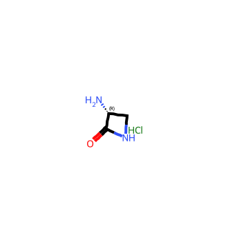 Cl.N[C@@H]1CNC1=O